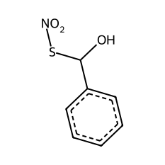 O=[N+]([O-])SC(O)c1ccccc1